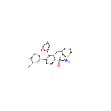 Cc1ccc(-c2ccc(S(N)(=O)=O)c(Cc3ccccc3)c2-c2cnco2)cc1F